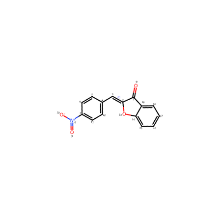 O=C1/C(=C/c2ccc([N+](=O)[O-])cc2)Oc2ccccc21